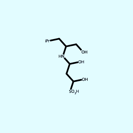 CC(C)CC(CO)NC(O)CC(O)S(=O)(=O)O